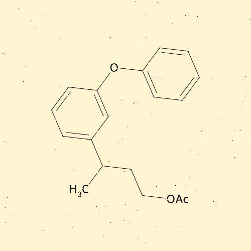 CC(=O)OCCC(C)c1cccc(Oc2ccccc2)c1